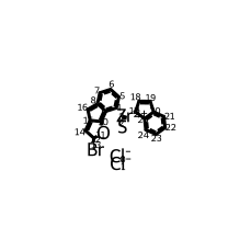 [Cl-].[Cl-].[S]=[Zr+2]([c]1cccc2c1=C1OC(Br)C=C1C=2)[CH]1C=Cc2ccccc21